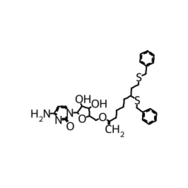 C=C(CCCCC(CCSCc1ccccc1)SCc1ccccc1)OCC1OC(n2ccc(N)nc2=O)C(O)C1O